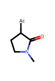 CC(=O)C1CCN(C)C1=O